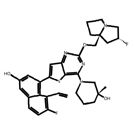 C=Cc1c(F)ccc2cc(O)cc(-c3cc4nc(OC[C@@]56CCCN5C[C@H](F)C6)nc(N5CCC[C@@](C)(O)C5)c4s3)c12